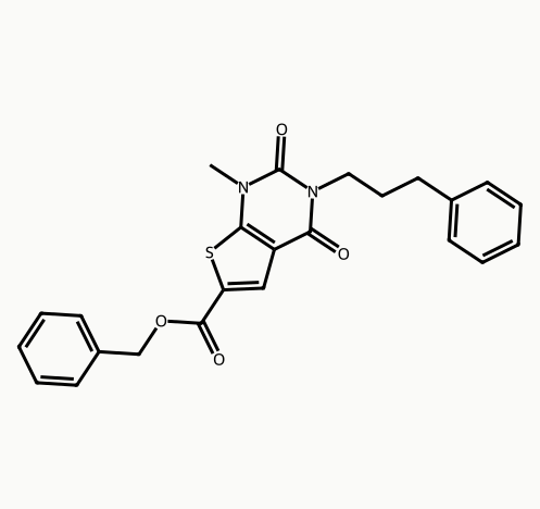 Cn1c(=O)n(CCCc2ccccc2)c(=O)c2cc(C(=O)OCc3ccccc3)sc21